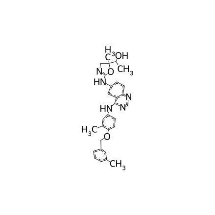 Cc1cccc(COc2ccc(Nc3ncnc4ccc(NC5=NC[C@@](C)(C(C)O)O5)cc34)cc2C)c1